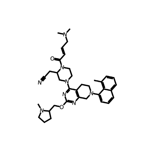 Cc1cccc2cccc(N3CCc4c(nc(OCC5CCCN5C)nc4N4CCN(C(=O)/C=C/CN(C)C)C(CC#N)C4)C3)c12